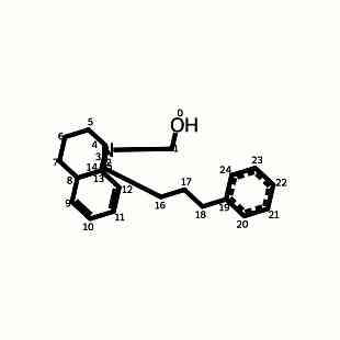 OCN1CC2CCCC3C=CC=CC32CC1CCCc1ccccc1